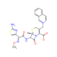 CON=C(C(=O)NC1C(=O)N2C(C(=O)[O-])=C(C[n+]3ccc4ccccc4c3)CS[C@@H]12)c1csc(N)n1